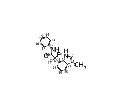 Cc1c[nH]c2c(C(F)(F)C(=O)Nc3ccccc3)cccc12